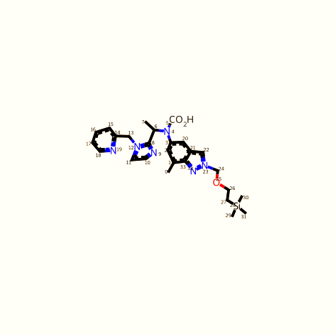 Cc1cc(N(C(=O)O)C(C)c2nccn2Cc2ccccn2)cc2cn(COCC[Si](C)(C)C)nc12